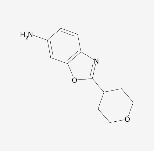 Nc1ccc2nc(C3CCOCC3)oc2c1